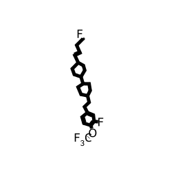 FCCC=CC1CCC(C2CCC(CCc3ccc(OC(F)(F)F)c(F)c3)CC2)CC1